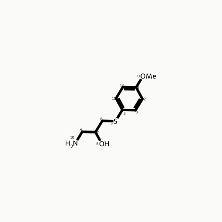 COc1ccc(SCC(O)CN)cc1